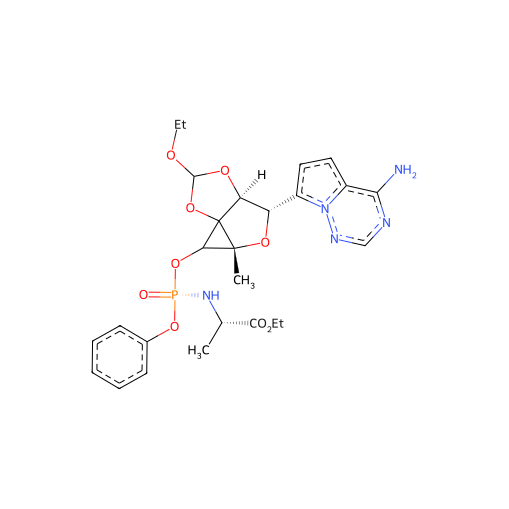 CCOC(=O)[C@H](C)N[P@@](=O)(Oc1ccccc1)OC1C23OC(OCC)O[C@H]2[C@H](c2ccc4c(N)ncnn24)O[C@]13C